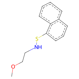 COCCNSc1cccc2ccccc12